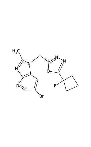 Cc1nc2ncc(Br)cc2n1Cc1nnc(C2(F)CCC2)o1